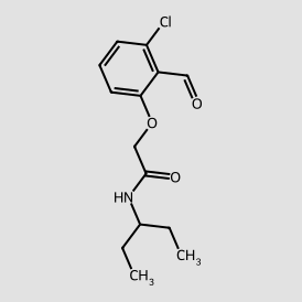 CCC(CC)NC(=O)COc1cccc(Cl)c1C=O